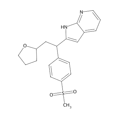 CS(=O)(=O)c1ccc(C(CC2CCCO2)c2cc3cccnc3[nH]2)cc1